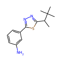 CC(c1nnc(-c2cccc(N)c2)s1)C(C)(C)C